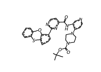 CC(C)(C)OC(=O)N1CCN(c2ccncc2NC(=O)c2ccnc(-c3cccc4c3Oc3ccccc3S4)n2)CC1